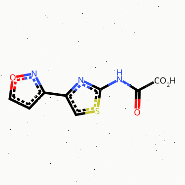 O=C(O)C(=O)Nc1nc(-c2ccon2)cs1